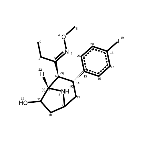 CCC(=NOC)[C@@H]1[C@@H]2NC(CC2O)C[C@H]1c1ccc(I)cc1